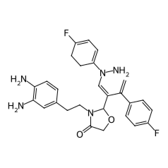 C=C(/C(=C\N(N)C1=CC=C(F)CC1)C1OCC(=O)N1CCc1ccc(N)c(N)c1)c1ccc(F)cc1